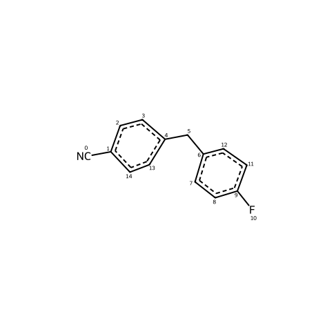 N#Cc1ccc(Cc2ccc(F)cc2)cc1